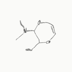 CN(C)C1OC=COC1C(C)(C)C